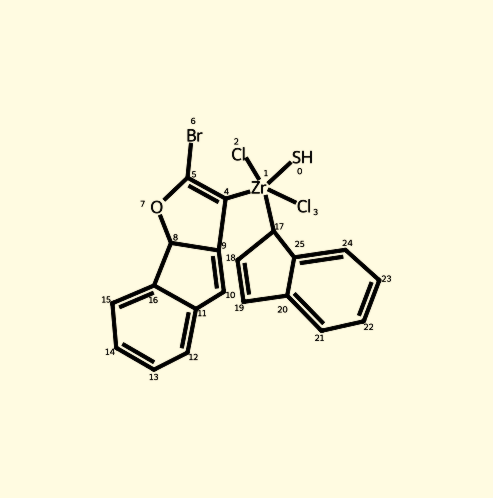 [SH][Zr]([Cl])([Cl])([C]1=C(Br)OC2C1=Cc1ccccc12)[CH]1C=Cc2ccccc21